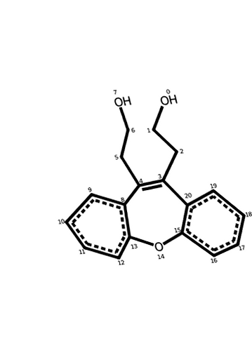 OCCC1=C(CCO)c2ccccc2Oc2ccccc21